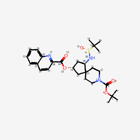 CC(C)(C)OC(=O)N1CCC2(CC1)C[C@H](OC(=O)c1ccc3ccccc3n1)C[C@H]2N[S@+]([O-])C(C)(C)C